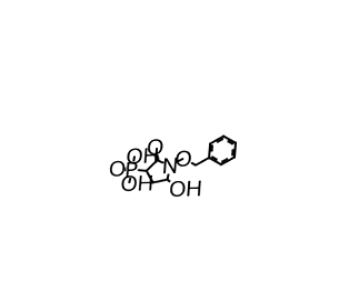 O=C1C(P(=O)(O)O)CC(O)N1OCc1ccccc1